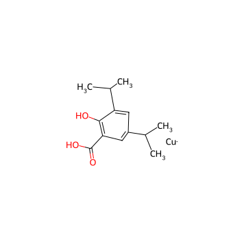 CC(C)c1cc(C(=O)O)c(O)c(C(C)C)c1.[Cu]